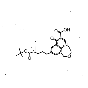 CC(C)(C)OC(=O)NCCCc1cc2c3c(c1)c(=O)c(C(=O)O)cn3CCOC2